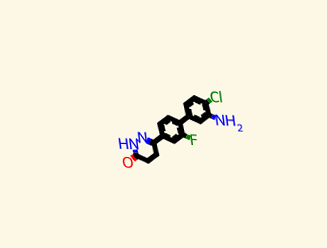 Nc1cc(-c2ccc(C3=NNC(=O)CC3)cc2F)ccc1Cl